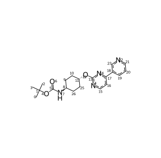 CC(C)(C)OC(=O)N[C@H]1CC[C@H](Oc2nccc(-c3cccnc3)n2)CC1